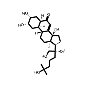 CC(C)(O)CCC[C@@](O)(CO)[C@H]1CC[C@@]2(O)C3=CC(=O)[C@@H]4C[C@@H](O)[C@@H](O)C[C@]4(C)[C@H]3CC[C@]12C